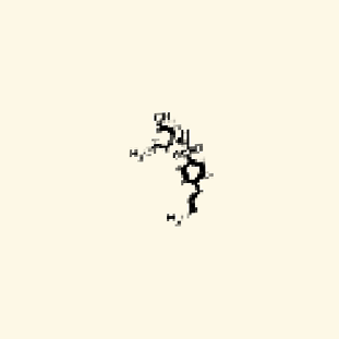 CCCCc1ccc(S(=O)(=O)NP(CCC)CCC)cc1